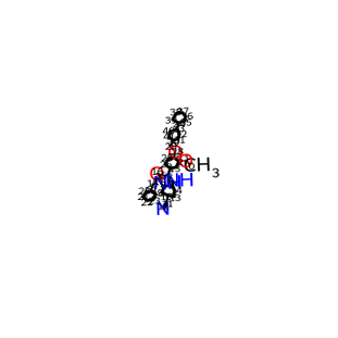 COc1cc([C@H](Nc2ccc(C#N)cc2)C(=O)NCc2ccccc2)ccc1OCc1ccc(-c2ccccc2)cc1